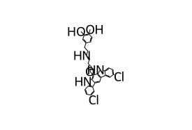 Oc1ccc(CCNCCCOc2c3[nH]c4ccc(Cl)cc4c3cc3c2[nH]c2ccc(Cl)cc23)cc1O